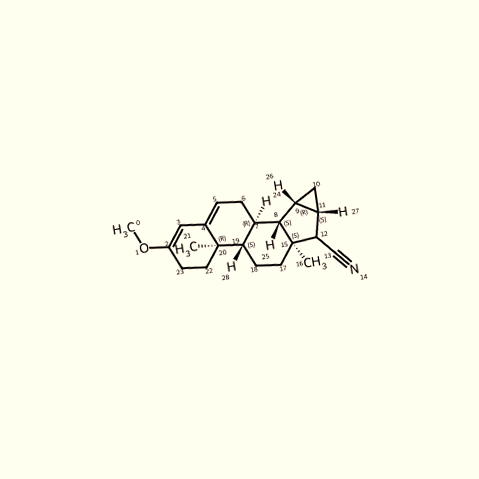 COC1=CC2=CC[C@H]3[C@@H]4[C@@H]5C[C@@H]5C(C#N)[C@@]4(C)CC[C@@H]3[C@@]2(C)CC1